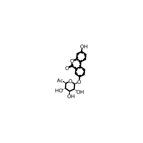 CC(=O)[C@H]1O[C@@H](Oc2ccc3c(c2)c(=O)oc2cc(O)ccc23)[C@H](O)[C@@H](O)[C@@H]1O